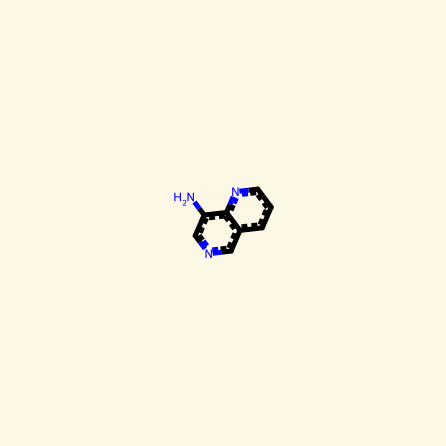 Nc1cncc2cccnc12